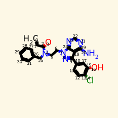 C=CC(=O)N(CCn1nc(-c2ccc(Cl)c(O)c2)c2c(N)ncnc21)Cc1ccccc1